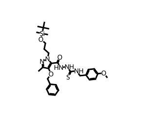 COc1ccc(CNC(=S)NNC(=O)c2c(OCc3ccccc3)c(C)nn2CCCO[Si](C)(C)C(C)(C)C)cc1